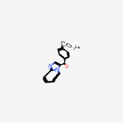 O=C(O)c1ccc(C(=O)c2cnc3ccccn23)cc1